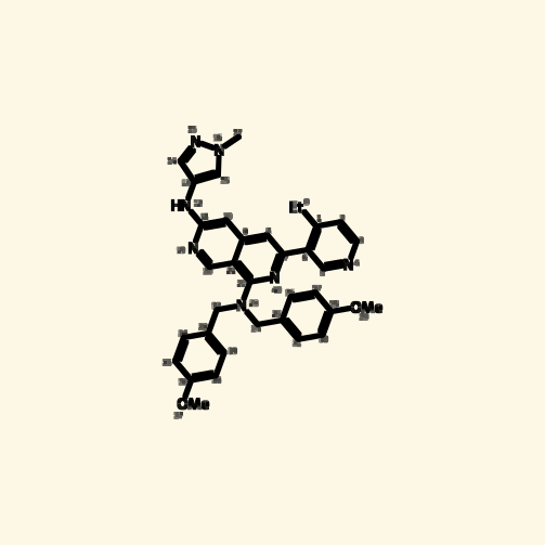 CCc1ccncc1-c1cc2cc(Nc3cnn(C)c3)ncc2c(N(Cc2ccc(OC)cc2)Cc2ccc(OC)cc2)n1